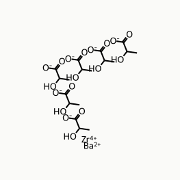 CC(O)C(=O)[O-].CC(O)C(=O)[O-].CC(O)C(=O)[O-].CC(O)C(=O)[O-].CC(O)C(=O)[O-].CC(O)C(=O)[O-].[Ba+2].[Zr+4]